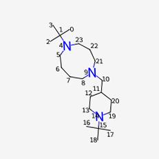 CC(C)(C)N1CCCCN(CC2CCN(C(C)(C)C)CC2)CCC1